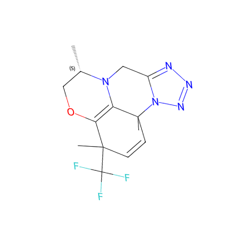 C[C@H]1COC2=C3N1Cc1nnnn1C3(C)C=CC2(C)C(F)(F)F